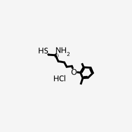 Cc1cccc(C)c1OCCCC[C@H](N)CS.Cl